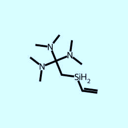 C=C[SiH2]CC(N(C)C)(N(C)C)N(C)C